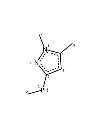 CPc1cc(C)n(C)n1